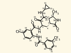 C[C@@H]1C[C@@H](CC(NC(=O)c2cc(Cl)ccc2NC(=O)c2cncc(C(F)(F)F)c2)C(=O)C(=O)NC2CC2)C(=O)N1